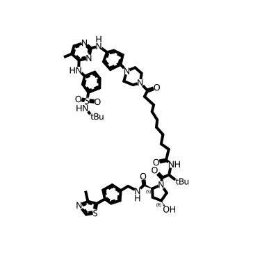 Cc1cnc(Nc2ccc(N3CCN(C(=O)CCCCCCCCC(=O)NC(C(=O)N4C[C@H](O)C[C@H]4C(=O)NCc4ccc(-c5scnc5C)cc4)C(C)(C)C)CC3)cc2)nc1Nc1cccc(S(=O)(=O)NC(C)(C)C)c1